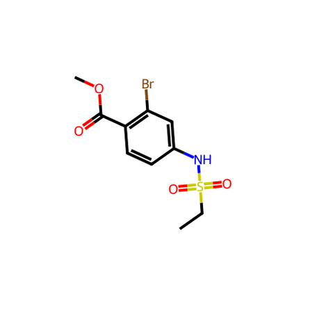 CCS(=O)(=O)Nc1ccc(C(=O)OC)c(Br)c1